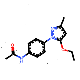 CCOc1cc(C)nn1-c1ccc(NC(C)=O)cc1